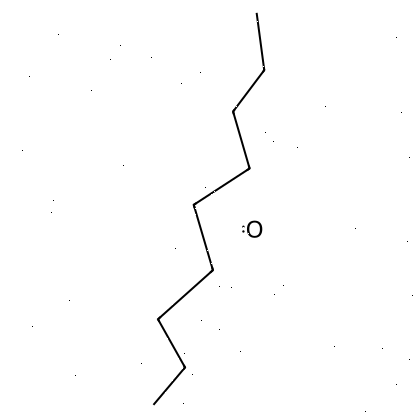 CCCCCCCCC.[O]